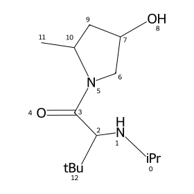 CC(C)NC(C(=O)N1CC(O)CC1C)C(C)(C)C